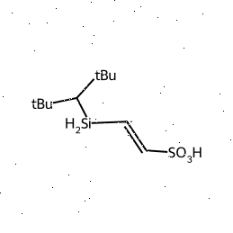 CC(C)(C)C([SiH2]/[C]=C/S(=O)(=O)O)C(C)(C)C